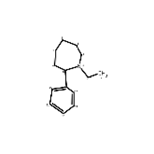 CCN1CCCCCC1c1ccccc1